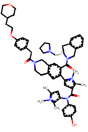 Cc1c(N(C(=O)c2cc(-c3cc4c(cc3C(=O)N3Cc5ccccc5C[C@H]3CN3CCCC3)CN(C(=O)Cc3ccc(OCCC5CCOCC5)cc3)CC4)n(C)c2C)c2ccc(O)cc2)cc(C#N)n1C